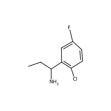 CCC(N)c1cc(F)ccc1Cl